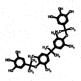 Cc1cc(C(C)(C)c2cc(C)c(OC(C)(C)c3cc(O)c(O)c(O)c3)c(C)c2)cc(C)c1OC(C)(C)c1cc(O)c(O)c(O)c1